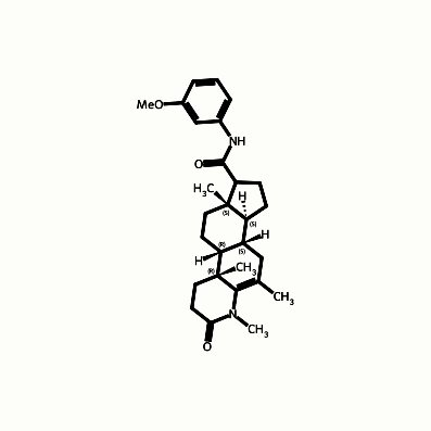 COc1cccc(NC(=O)C2CC[C@H]3[C@@H]4CC(C)=C5N(C)C(=O)CC[C@]5(C)[C@@H]4CC[C@]23C)c1